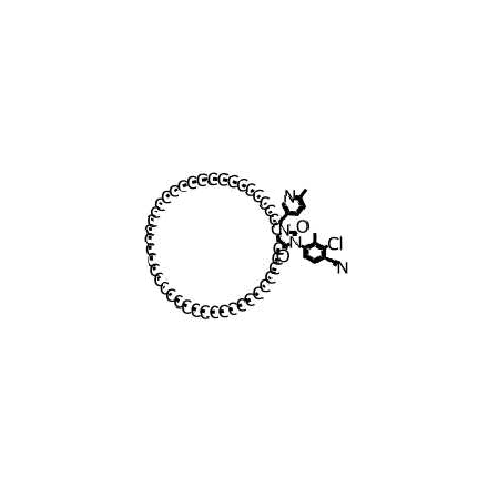 Cc1ccc(CN2C(=O)N(c3ccc(C#N)c(Cl)c3C)C(=O)C23CCCCCCCCCCCCCCCCCCCCCCCCCCCCCCCCCCCCCCCCC3)cn1